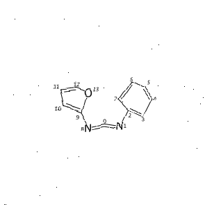 C(=Nc1ccccc1)=Nc1ccco1